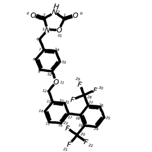 O=c1[nH]c(=O)n(Cc2ccc(OCc3cccc(-c4c(C(F)(F)F)cccc4C(F)(F)F)c3)cc2)o1